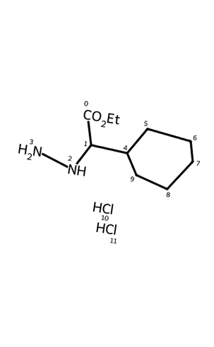 CCOC(=O)C(NN)C1CCCCC1.Cl.Cl